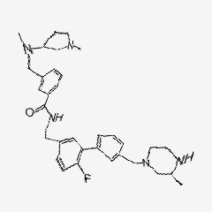 C[C@H]1CN(Cc2cccc(-c3cc(CNC(=O)c4cccc(CN(C)C5CCN(C)C5)c4)ccc3F)c2)CCN1